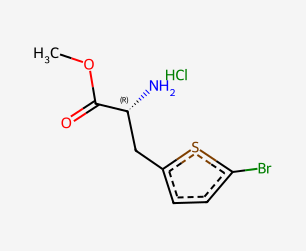 COC(=O)[C@H](N)Cc1ccc(Br)s1.Cl